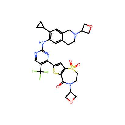 O=C1c2sc(-c3nc(Nc4cc5c(cc4C4CC4)CN(C4COC4)CC5)ncc3C(F)(F)F)cc2S(=O)(=O)CCN1C1COC1